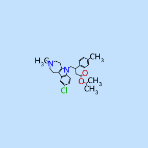 Cc1ccc(C(CC(=O)OC(C)C)Cn2c3c(c4cc(Cl)ccc42)CCN(C)CC3)cc1